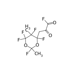 CC1(F)OC(F)(F)C(C)(F)C(F)(CC(=O)C(=O)F)O1